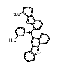 Cc1cccc(N(c2cc3c4ccccc4oc3c3ccccc23)c2cccc3c2oc2c(C(C)(C)C)cccc23)c1